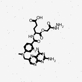 CN(Cc1cnc2nc(N)nc(N)c2n1)c1ccc(C(=O)NC(CCC(=O)O)C(=O)OCC(=O)NN)cc1